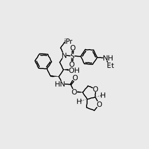 CCNc1ccc(S(=O)(=O)N(CC(C)C)C[C@@H](O)[C@H](Cc2ccccc2)NC(=O)O[C@H]2CO[C@H]3OCC[C@H]32)cc1